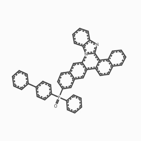 O=P(c1ccccc1)(c1ccc(-c2ccccc2)cc1)c1ccc2cc3c(cc2c1)c1ccc2ccccc2c1c1nc2ccccc2n31